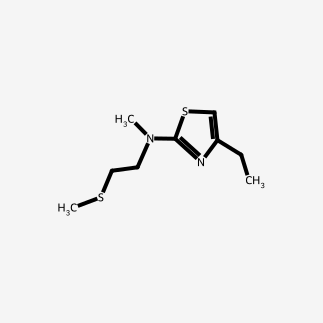 CCc1csc(N(C)CCSC)n1